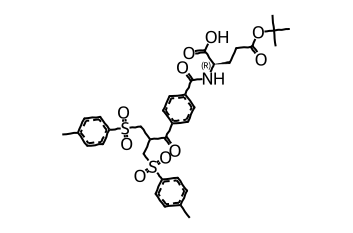 Cc1ccc(S(=O)(=O)CC(CS(=O)(=O)c2ccc(C)cc2)C(=O)c2ccc(C(=O)N[C@H](CCC(=O)OC(C)(C)C)C(=O)O)cc2)cc1